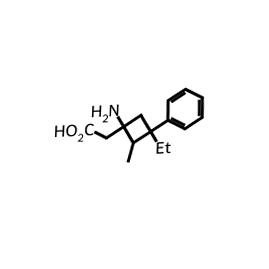 CCC1(c2ccccc2)CC(N)(CC(=O)O)C1C